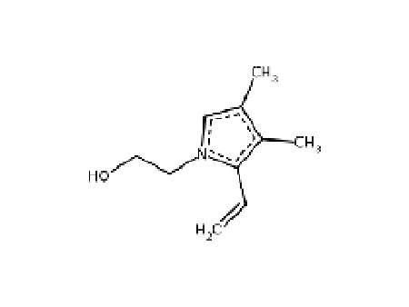 C=Cc1c(C)c(C)cn1CCO